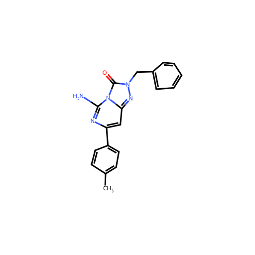 Cc1ccc(-c2cc3nn(Cc4ccccc4)c(=O)n3c(N)n2)cc1